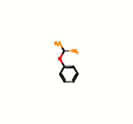 PC(P)Oc1ccccc1